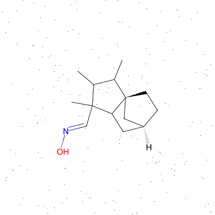 CC1C(C)[C@@]23CC[C@@H](CC2C1(C)/C=N/O)C3